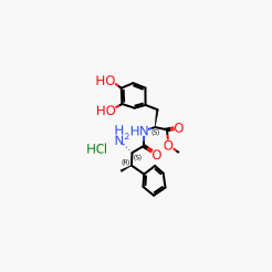 COC(=O)[C@H](Cc1ccc(O)c(O)c1)NC(=O)[C@@H](N)[C@H](C)c1ccccc1.Cl